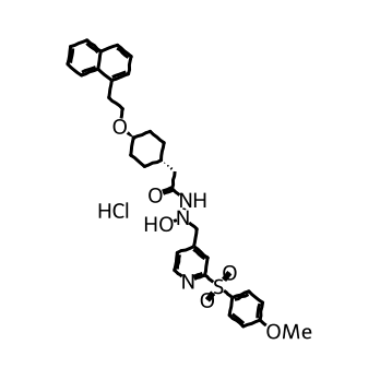 COc1ccc(S(=O)(=O)c2cc(CN(O)NC(=O)C[C@H]3CC[C@H](OCCc4cccc5ccccc45)CC3)ccn2)cc1.Cl